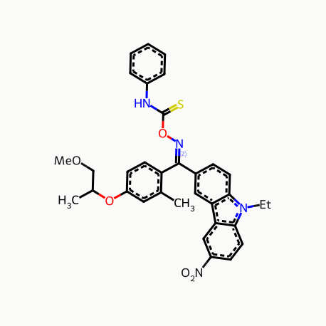 CCn1c2ccc(/C(=N/OC(=S)Nc3ccccc3)c3ccc(OC(C)COC)cc3C)cc2c2cc([N+](=O)[O-])ccc21